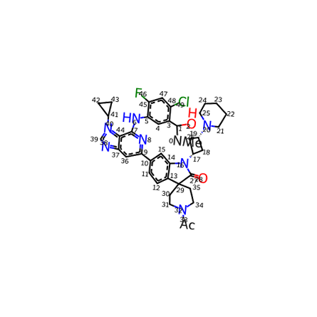 CNC(O)c1cc(Nc2nc(-c3ccc4c(c3)N([C@H]3C[C@@H](N5CCCCC5)C3)C(=O)C43CCN(C(C)=O)CC3)cc3ncn(C4CC4)c23)c(F)cc1Cl